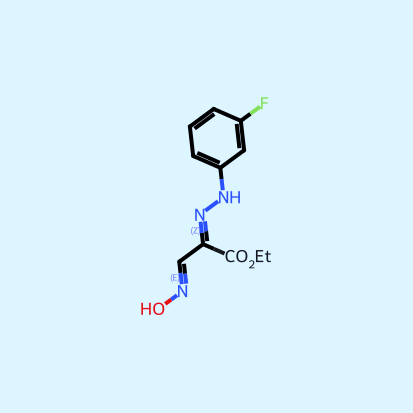 CCOC(=O)C(/C=N/O)=N\Nc1cccc(F)c1